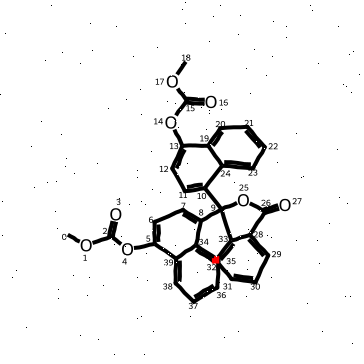 COC(=O)Oc1ccc(C2(c3ccc(OC(=O)OC)c4ccccc34)OC(=O)c3ccccc32)c2ccccc12